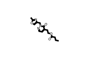 CCCC(=O)OCCc1ccnn(Cc2coc(C)n2)c1=O